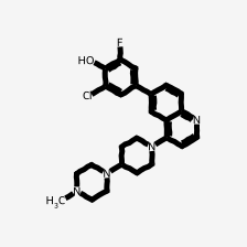 CN1CCN(C2CCN(c3[c]cnc4ccc(-c5cc(F)c(O)c(Cl)c5)cc34)CC2)CC1